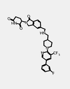 O=C1CCC(N2Cc3cc(CNCC4CCN(c5ncc(-c6cccc(F)c6)cc5C(F)(F)F)CC4)ccc3C2=O)C(=O)N1